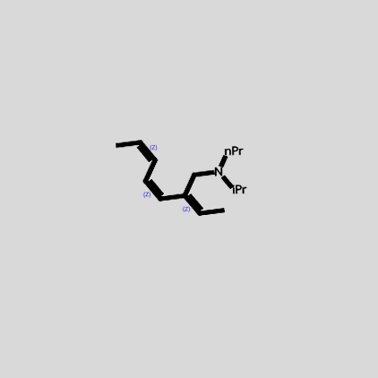 C\C=C/C=C\C(=C\C)CN(CCC)C(C)C